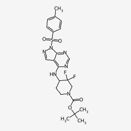 Cc1ccc(S(=O)(=O)n2ncc3c(NC4CCN(C(=O)OC(C)(C)C)CC4(F)F)ncnc32)cc1